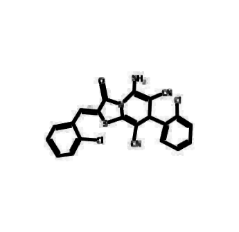 N#CC1=C(N)n2c(s/c(=C\c3ccccc3Cl)c2=O)=C(C#N)C1c1ccccc1Cl